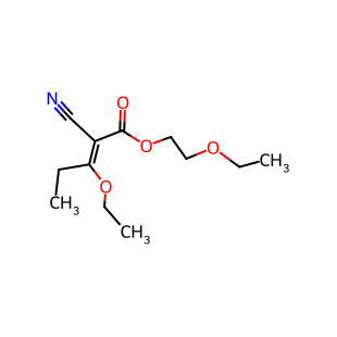 CCOCCOC(=O)C(C#N)=C(CC)OCC